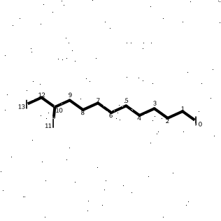 ICCCCCCCCCC(I)CI